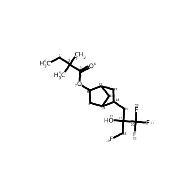 CCC(C)(C)C(=O)OC1CC2CC1CC2CC(O)(CF)C(F)(F)F